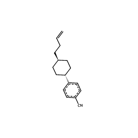 C=CCC[C@H]1CC[C@H](c2ccc(C#N)cc2)CC1